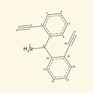 C#Cc1ccccc1C([SiH2])c1ccccc1C#C